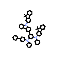 CC1(C)c2ccccc2-c2ccc(N(C3=CCCC=C3)c3cc(-c4ccc5c(c4)c4ccccc4n5-c4ccc5c(c4)C(C)(C)C4CC=CC=C54)cc(N(c4ccccc4)c4ccc(-c5ccccc5)cc4)c3)cc21